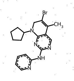 CC1=C(Br)CN(C2CCCC2)c2nc(Nc3ccccn3)ncc21